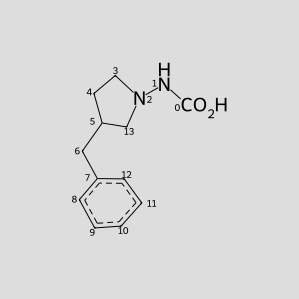 O=C(O)NN1CCC(Cc2ccccc2)C1